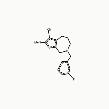 CNc1sc2c(c1C#N)CCCN(Cc1cccc(F)c1)C2